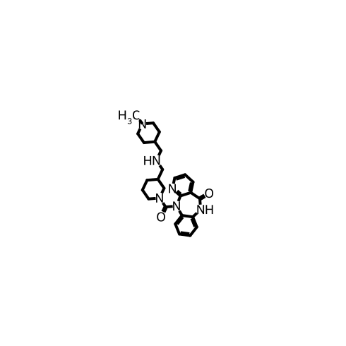 CN1CCC(CNCC2CCCN(C(=O)N3c4ccccc4NC(=O)c4cccnc43)C2)CC1